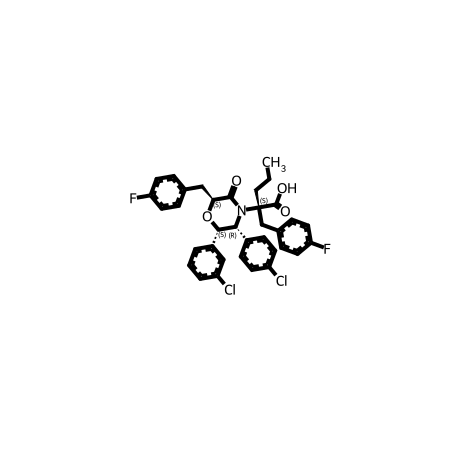 CCC[C@](Cc1ccc(F)cc1)(C(=O)O)N1C(=O)[C@H](Cc2ccc(F)cc2)O[C@@H](c2cccc(Cl)c2)[C@H]1c1ccc(Cl)cc1